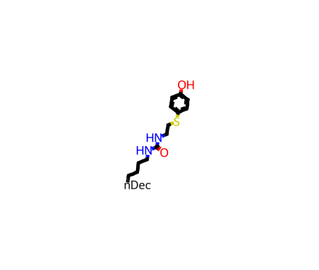 CCCCCCCCCCCCCCNC(=O)NCCSc1ccc(O)cc1